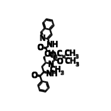 CN(C(=O)OC(C)(C)C)[C@H](COC(=O)Nc1cc2ccccc2cn1)CC(=N)C(=O)c1ccccc1